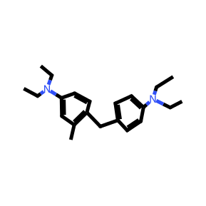 CCN(CC)c1ccc(Cc2ccc(N(CC)CC)cc2C)cc1